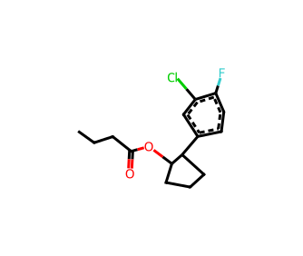 CCCC(=O)OC1CCCC1c1ccc(F)c(Cl)c1